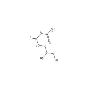 CC(OCC(S)CS)OC(N)=O